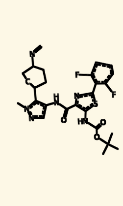 C=NC1CCC(c2c(NC(=O)c3nc(-c4c(F)cccc4F)sc3NC(=O)OC(C)(C)C)cnn2C)CC1